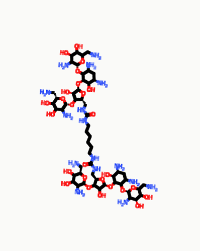 NCC1O[C@H](OC2C(N)C[C@@H](N)C(O)[C@H]2O[C@@H]2O[C@H](CNC(=O)NCCCCCCNC(=O)NC[C@H]3O[C@@H](OC4C(O[C@@H]5OC(CN)C(O)[C@H](O)C5N)C(N)C[C@H](N)[C@@H]4O)C(O)C3O[C@@H]3O[C@H](CN)C(O)C(O)C3N)C(O[C@H]3O[C@@H](CN)C(O)C(O)C3N)[C@@H]2O)C(N)[C@@H](O)C1O